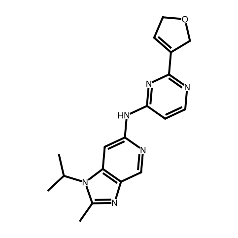 Cc1nc2cnc(Nc3ccnc(C4=CCOC4)n3)cc2n1C(C)C